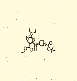 CCOC(=O)c1cnc(N(CC)CC)nc1N[C@H]1CCN(C(=O)OC(C)(C)C)C1